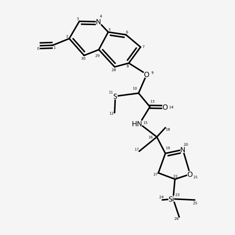 C#Cc1cnc2ccc(OC(SC)C(=O)NC(C)(C)C3=NOC([Si](C)(C)C)C3)cc2c1